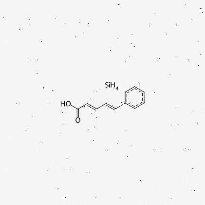 O=C(O)C=CC=Cc1ccccc1.[SiH4]